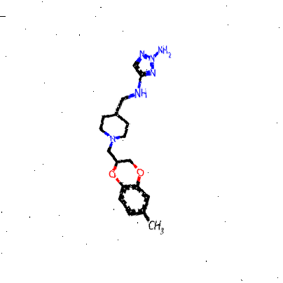 Cc1ccc2c(c1)OCC(CN1CCC(CNc3cnn(N)n3)CC1)O2